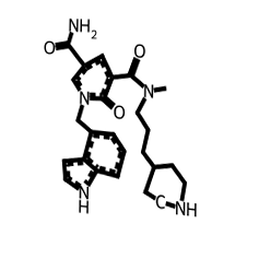 CN(CCCC1CCNCC1)C(=O)c1cc(C(N)=O)cn(Cc2cccc3[nH]ccc23)c1=O